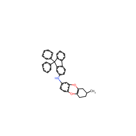 CC1CCC2=C(C1)Oc1cc(Nc3ccc4c(c3)C(c3ccccc3)(c3ccccc3)c3ccccc3-4)ccc1O2